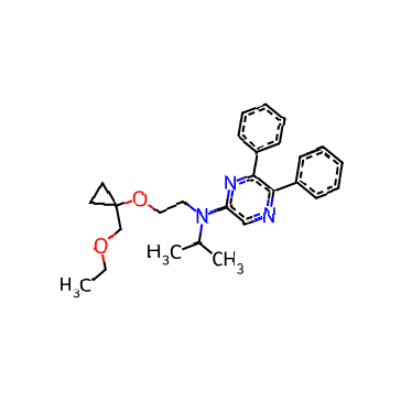 CCOCC1(OCCN(c2cnc(-c3ccccc3)c(-c3ccccc3)n2)C(C)C)CC1